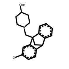 O=CC1CCN(CC23CC(c4ccccc42)c2ccc(Cl)cc23)CC1